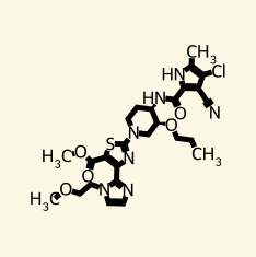 CCCO[C@H]1CN(c2nc(-c3nccn3CCOC)c(C(=O)OC)s2)CC[C@H]1NC(=O)c1[nH]c(C)c(Cl)c1C#N